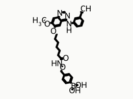 C#Cc1cccc(Nc2ncnc3cc(OC)c(OCCCCCCC(=O)NOCc4ccc(B(O)O)cc4)cc23)c1